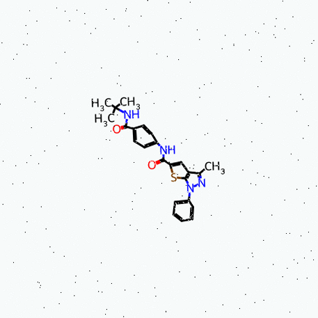 Cc1nn(-c2ccccc2)c2sc(C(=O)Nc3ccc(C(=O)NC(C)(C)C)cc3)cc12